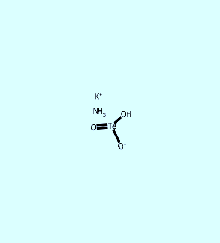 N.O=[Te]([O-])O.[K+]